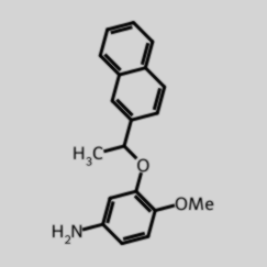 COc1ccc(N)cc1OC(C)c1ccc2ccccc2c1